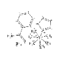 NC(=O)c1ccccc1.[CH3][Ti]([CH3])([CH3])([CH3])([CH3])([CH3])[C]1=CC=CC1.[SiH4]